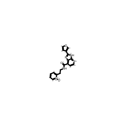 O=C(NCCc1cccc[n+]1[O-])c1ccnc2[nH]c(-c3ccoc3)nc12